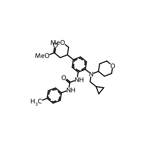 COCC(CC(=O)OC)c1ccc(N(CC2CC2)C2CCOCC2)c(NC(=O)Nc2ccc(C)cc2)c1